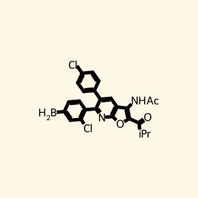 Bc1ccc(-c2nc3oc(C(=O)C(C)C)c(NC(C)=O)c3cc2-c2ccc(Cl)cc2)c(Cl)c1